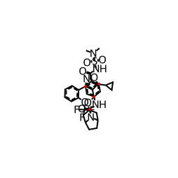 CN(C)S(=O)(=O)NC(=O)c1ccc(NC(=O)N2C3CCC2CC(OCc2c(-c4ccccc4OC(F)(F)F)noc2C2CC2)C3)cc1